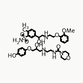 COc1ccccc1OCCNCC(O)c1ccc(C)c(S(N)(=O)=O)c1.O=C(NCCNCC(O)COc1ccc(O)cc1)N1CCOCC1